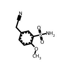 COc1ccc(CC#N)cc1S(N)(=O)=O